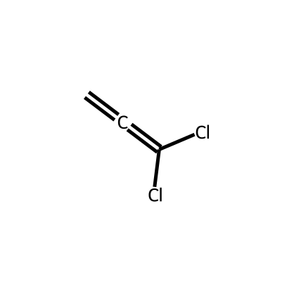 C=C=C(Cl)Cl